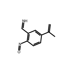 C=C(C)c1ccc(N=O)c(C=N)c1